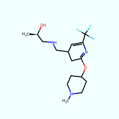 C[C@@H](O)CNCC1C=C(C(F)(F)F)N=C(OC2CCN(C)CC2)C1